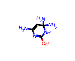 NC1=CC(N)(N)NC(O)=N1